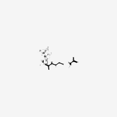 C=C(C)C(=O)OCCCC(O[Si](OOC)(OOC)OOC)C(C)C